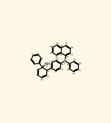 NC1(c2ccccc2)C=CC=CC1c1ccc(N(c2ccccc2)c2cccc3ccccc23)cc1